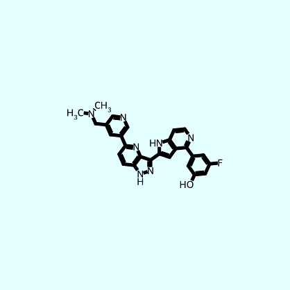 CN(C)Cc1cncc(-c2ccc3[nH]nc(-c4cc5c(-c6cc(O)cc(F)c6)nccc5[nH]4)c3n2)c1